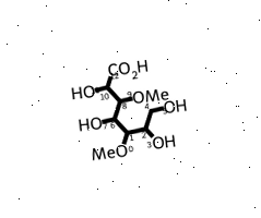 COC(C(O)CO)C(O)C(OC)C(O)C(=O)O